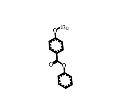 CC(C)(C)Oc1ccc(C(=O)Oc2ccccc2)cc1